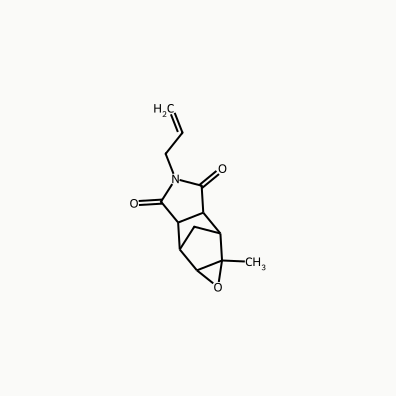 C=CCN1C(=O)C2C3CC(C2C1=O)C1(C)OC31